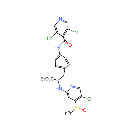 CCC[S+]([O-])c1cc(NC(Cc2ccc(NC(=O)c3c(Cl)cncc3Cl)cc2)C(=O)OCC)ncc1Cl